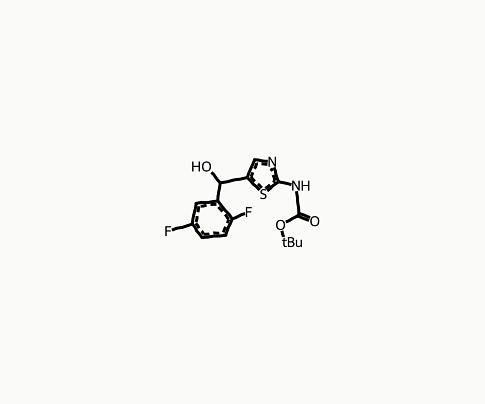 CC(C)(C)OC(=O)Nc1ncc(C(O)c2cc(F)ccc2F)s1